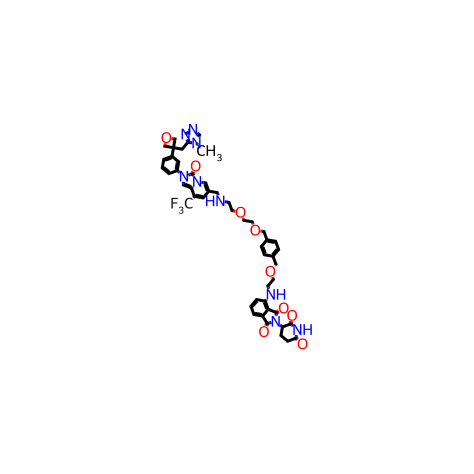 Cn1cnnc1CC1(c2cccc(-n3cc4c(C(F)(F)F)cc(CNCCOCCOCc5ccc(COCCNc6cccc7c6C(=O)N(C6CCC(=O)NC6=O)C7=O)cc5)cn4c3=O)c2)COC1